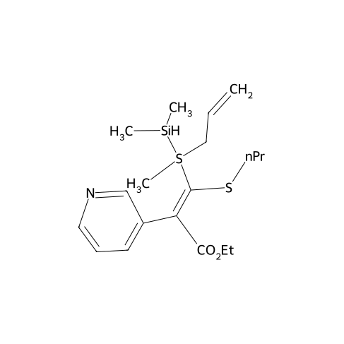 C=CCS(C)(C(SCCC)=C(C(=O)OCC)c1cccnc1)[SiH](C)C